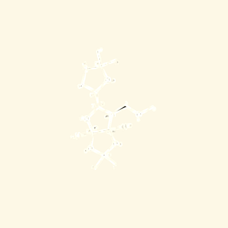 COC[C@H]1[C@H]2OC(C)(C)O[C@H]2O[C@@H]1C1COC(C)(C)O1